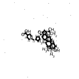 C=C(C)[C@@H]1CC[C@]2(C(=O)[C@@H]3CC[C@H](CN4CCC(C(=O)O)CC4)C3)CC[C@]3(C)[C@H](CC[C@@H]4[C@@]5(C)CC[C@H](O)C(C)(C)[C@@H]5CC[C@]43C)[C@@H]12